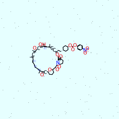 CO[C@H]1CC2CCCC(O2)C(=O)C(=O)N2CCCC[C@H]2C(=O)O[C@H](CC[C@H]2CC[C@H](OC(=O)Oc3ccc([N+](=O)[O-])cc3)CC2)CC[C@H](C)/C=C(\C)[C@@H](O)CC(=O)[C@H](C)C[C@H](C)/C=C/C=C/C=C/1C